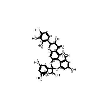 CC(O)C1(c2cc(O)cc(O)c2)Oc2cc(O)cc(O)c2-c2c(cc3c(c2O)C(=O)C(O)C(c2ccc(O)c(O)c2O)O3)O1